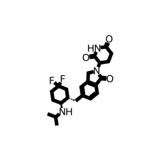 CC(C)N[C@H]1CCC(F)(F)C[C@@H]1Cc1ccc2c(c1)CN(C1CCC(=O)NC1=O)C2=O